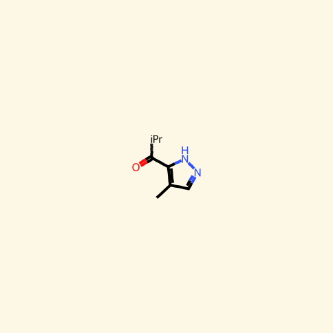 Cc1cn[nH]c1C(=O)C(C)C